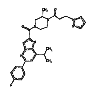 CC(C)c1cc(-c2ccc(F)cc2)nn2cc(C(=O)N3CCN(C(=O)CCn4cccn4)[C@@H](C)C3)nc12